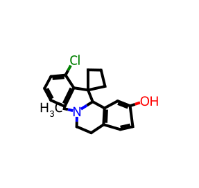 CN1CCc2ccc(O)cc2C1C1(c2ccccc2Cl)CCC1